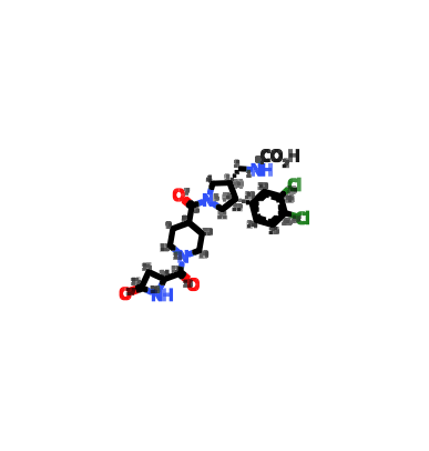 O=C(O)NC[C@H]1CN(C(=O)C2CCN(C(=O)C3CC(=O)N3)CC2)C[C@H]1c1ccc(Cl)c(Cl)c1